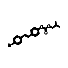 CC(C)COC(=O)Oc1ccc(C=Cc2ccc(Br)cc2)cc1